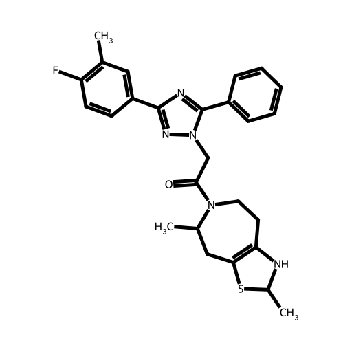 Cc1cc(-c2nc(-c3ccccc3)n(CC(=O)N3CCC4=C(CC3C)SC(C)N4)n2)ccc1F